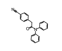 N#Cc1ccc(CC(=O)N(c2ccccc2)c2ccccc2)cc1